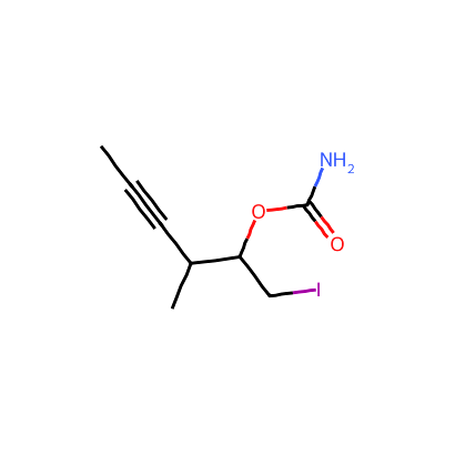 CC#CC(C)C(CI)OC(N)=O